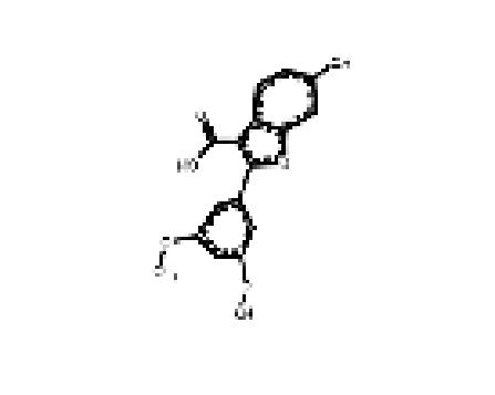 COc1cc(OC)cc(-c2oc3cc(O)ccc3c2C(=O)O)c1